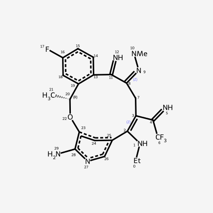 CCN/C1=C(\C(=N)C(F)(F)F)C/C(=N/NC)C(=N)c2ccc(F)cc2[C@@H](C)Oc2cc1cnc2N